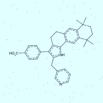 CC1(C)CCC(C)(C)c2cc3c(cc21)CCc1c-3[nH]c(Cc2cccnc2)c1-c1ccc(C(=O)O)cc1